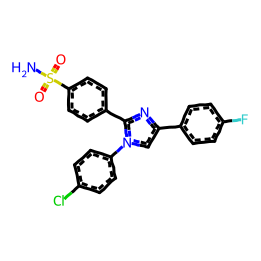 NS(=O)(=O)c1ccc(-c2nc(-c3ccc(F)cc3)cn2-c2ccc(Cl)cc2)cc1